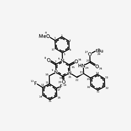 COc1cccc(-n2c(=O)n(Cc3c(F)cccc3F)c(=O)n(C[C@@H](NC(=O)OC(C)(C)C)c3ccccc3)c2=O)c1